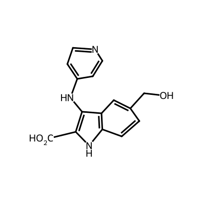 O=C(O)c1[nH]c2ccc(CO)cc2c1Nc1ccncc1